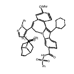 COc1ccc2c(c1)C=C(c1c(C(=O)N3C4CCC3CC(C)(O)C4)cnn1C(C)C)Cn1c-2c(C2CCCCC2)c2ccc(C(=O)NS(=O)(=O)C(C)C)cc21